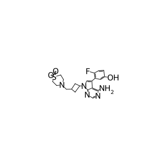 Nc1ncnc2c1c(-c1cc(O)ccc1F)cn2C1CC(CN2CCS(=O)(=O)CC2)C1